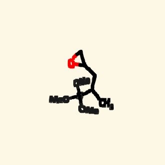 CO[Si](OC)(OC)C(C)CC1CO1